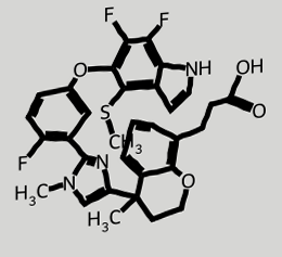 CSc1c(Oc2ccc(F)c(-c3nc(C4(C)CCOc5c(CCC(=O)O)cccc54)cn3C)c2)c(F)c(F)c2[nH]ccc12